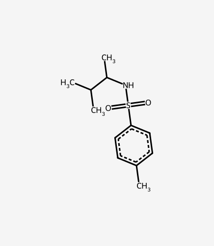 Cc1ccc(S(=O)(=O)NC(C)C(C)C)cc1